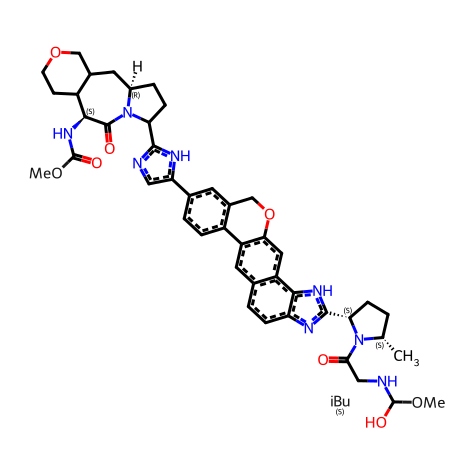 CC[C@H](C)C(NC(O)OC)C(=O)N1[C@@H](C)CC[C@H]1c1nc2ccc3cc4c(cc3c2[nH]1)OCc1cc(-c2cnc(C3CC[C@@H]5CC6COCCC6[C@H](NC(=O)OC)C(=O)N35)[nH]2)ccc1-4